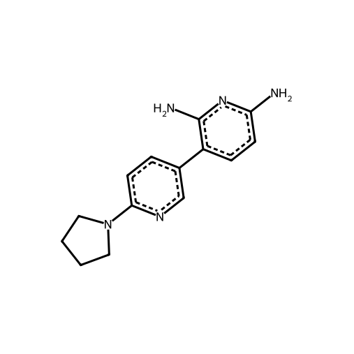 Nc1ccc(-c2ccc(N3CCCC3)nc2)c(N)n1